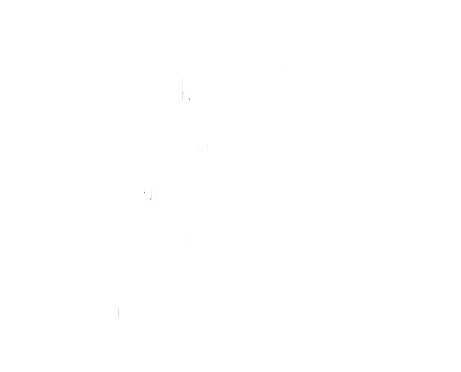 C=Cc1cc(Cl)cc(C2C(C(=O)Nc3ccc(Cl)c(C(=O)Nc4ccc(F)cc4F)c3)C2(Cl)Cl)c1